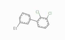 CCc1cccc(-c2cccc(Cl)c2Cl)c1